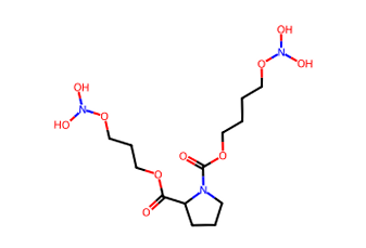 O=C(OCCCON(O)O)C1CCCN1C(=O)OCCCCON(O)O